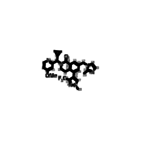 COc1ccnc(C(C2CC2)N2CCc3c(cc(Cn4ccnc4C)cc3-c3cn(C)nc3C(F)(F)F)C2=O)c1